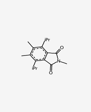 Cc1c(C)c(C(C)C)c2c(c1C(C)C)C(=O)N(C)C2=O